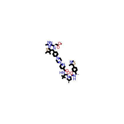 COC(=O)C[C@@H]1N=C(c2ccc(N3CCN(c4ccc(C(=O)NC(C(=O)N5C[C@H](C)C[C@H]5C(=O)N[C@@H](C)c5ccc(-c6scnc6C)cc5)C(C)(C)C)cn4)CC3)cc2)c2c(sc(C)c2C)-n2c(C)nnc21